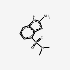 CN(C)S(=O)(=O)c1cccc2[nH]c(N)nc12